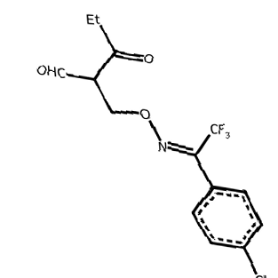 CCC(=O)C(C=O)CON=C(c1ccc(Cl)cc1)C(F)(F)F